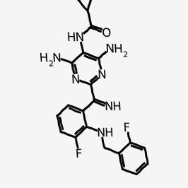 N=C(c1nc(N)c(NC(=O)C2CC2)c(N)n1)c1cccc(F)c1NCc1ccccc1F